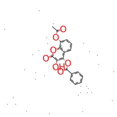 CC(=O)Oc1cccc2c(OC(=O)c3ccccc3)c(O)c(=O)oc12